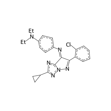 CCN(CC)c1ccc(/N=C2/C(c3ccccc3Cl)=Nn3nc(C4CC4)nc32)cc1